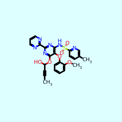 CC#CC(O)Oc1nc(-c2ncccn2)nc(NS(=O)(=O)c2ccc(C)cn2)c1Oc1ccccc1OC